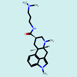 CN(C)CCCNC(=O)[C@@H]1C[C@@H]2c3cccc4c3c(cn4C)C[C@H]2N(C)C1